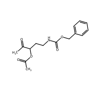 CC(=O)OC(CCNC(=O)OCc1ccccc1)C(C)=O